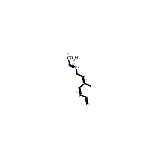 C=C/C=C\C(C)=C/C/P=C/C(=O)O